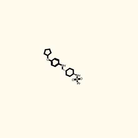 CC(C)S(=O)(=O)N[C@H]1CC[C@H](CNc2ccc(OC3CCCC3)cc2)CC1